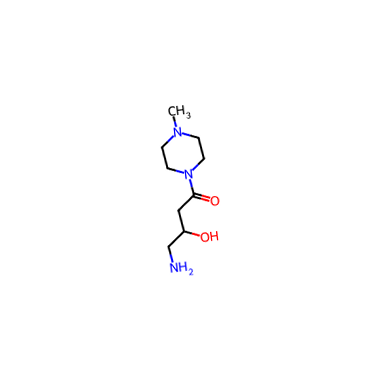 CN1CCN(C(=O)CC(O)CN)CC1